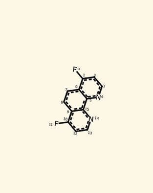 Fc1ccnc2c1ccc1c(F)ccnc12